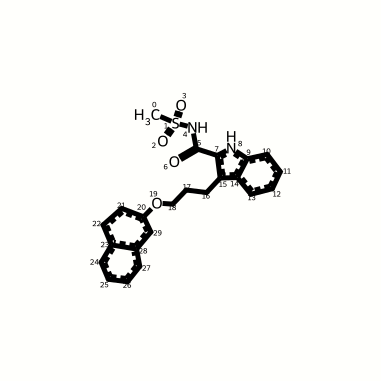 CS(=O)(=O)NC(=O)c1[nH]c2ccccc2c1CCCOc1ccc2ccccc2c1